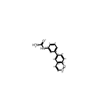 NC(=O)Nc1cccc(-c2ccc3c(c2)C=COO3)c1